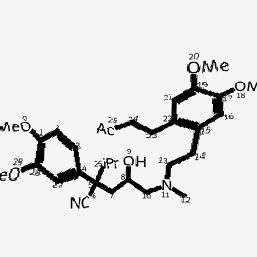 COc1ccc(C(C#N)(CC(O)CN(C)CCc2cc(OC)c(OC)cc2CCC(C)=O)C(C)C)cc1OC